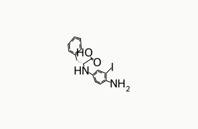 Nc1ccc(N[C@H](Cc2ccccc2)C(=O)O)cc1I